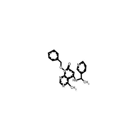 Cc1ncnc2c1c(NC(C)c1cccnc1)cc(=O)n2OCc1ccccc1